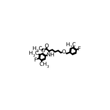 COC(=O)C(CCCCOCc1ccc(F)c(C)c1)Nc1cc(C)c(F)c(C)c1